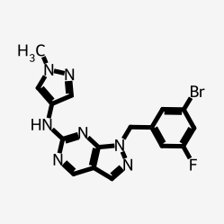 Cn1cc(Nc2ncc3cnn(Cc4cc(F)cc(Br)c4)c3n2)cn1